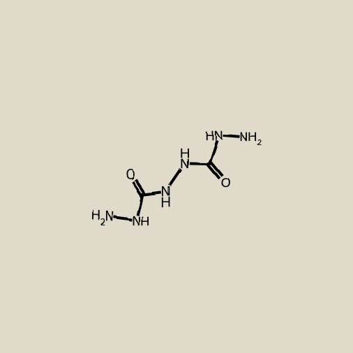 NNC(=O)NNC(=O)NN